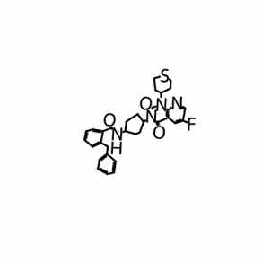 O=C(NC1CCC(n2c(=O)c3cc(F)cnc3n(C3CCSCC3)c2=O)CC1)c1ccccc1Cc1ccccc1